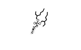 CCCCC(CC)COP(=O)(OCC(CC)CCCC)ON=[N+]=[N-]